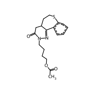 CC(=O)OCCCCN1N=C2c3ccccc3SCCC2CC1=O